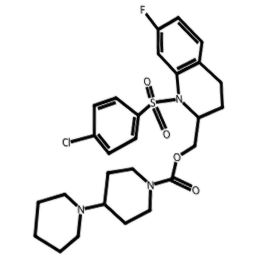 O=C(OCC1CCc2ccc(F)cc2N1S(=O)(=O)c1ccc(Cl)cc1)N1CCC(N2CCCCC2)CC1